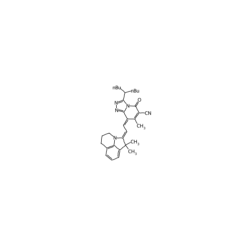 CCCCC(CCCC)c1nnc2/c(=C/C=C3\N4CCCc5cccc(c54)C3(C)C)c(C)c(C#N)c(=O)n12